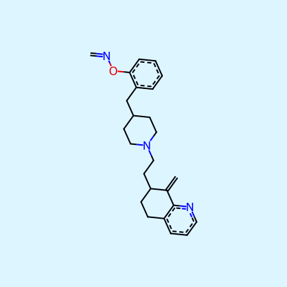 C=NOc1ccccc1CC1CCN(CCC2CCc3cccnc3C2=C)CC1